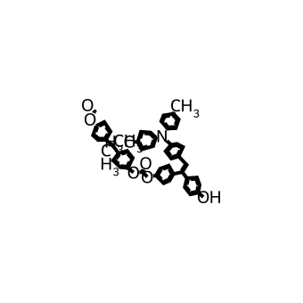 Cc1ccc(N(c2ccc(C)cc2)c2ccc(C=C(c3ccc(O)cc3)c3ccc(OC(=O)Oc4ccc(C(C)(C)c5ccc(OC=O)cc5)cc4)cc3)cc2)cc1